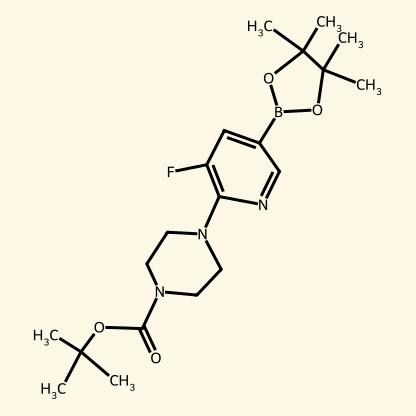 CC(C)(C)OC(=O)N1CCN(c2ncc(B3OC(C)(C)C(C)(C)O3)cc2F)CC1